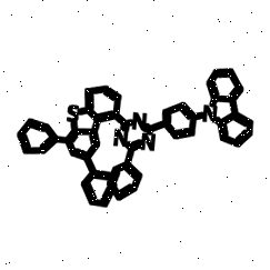 c1ccc(-c2cc(-c3ccccc3)c3sc4cccc(-c5nc(-c6ccccc6)nc(-c6ccc(-n7c8ccccc8c8ccccc87)cc6)n5)c4c3c2)cc1